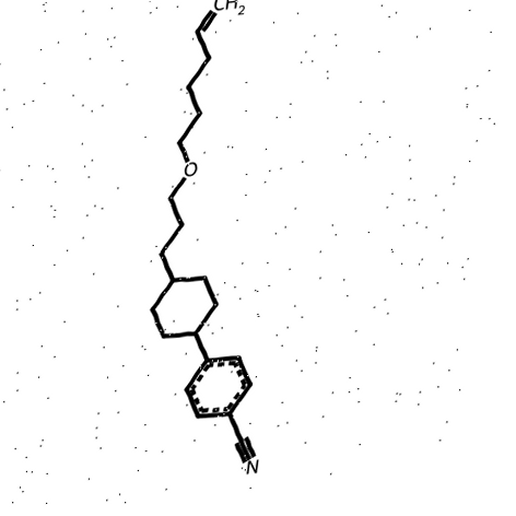 C=CCCCCOCCCC1CCC(c2ccc(C#N)cc2)CC1